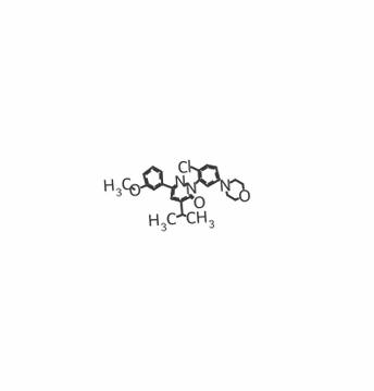 COc1cccc(-c2cc(C(C)C)c(=O)n(-c3cc(N4CCOCC4)ccc3Cl)n2)c1